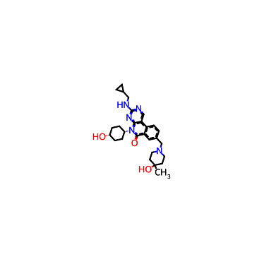 CC1(O)CCN(Cc2ccc3c(c2)c(=O)n([C@H]2CC[C@@H](O)CC2)c2nc(NCC4CC4)ncc32)CC1